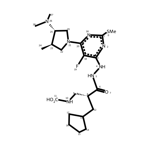 CSc1nc(NNC(=O)[C@@H](CNC(=O)O)CC2CCCC2)c(F)c(N2C[C@@H](C)[C@H](N(C)C)C2)n1